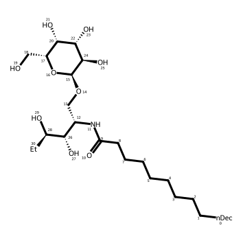 CCCCCCCCCCCCCCCCCCC(=O)N[C@@H](CO[C@H]1O[C@H](CO)[C@H](O)[C@H](O)[C@H]1O)[C@H](O)[C@H](O)CC